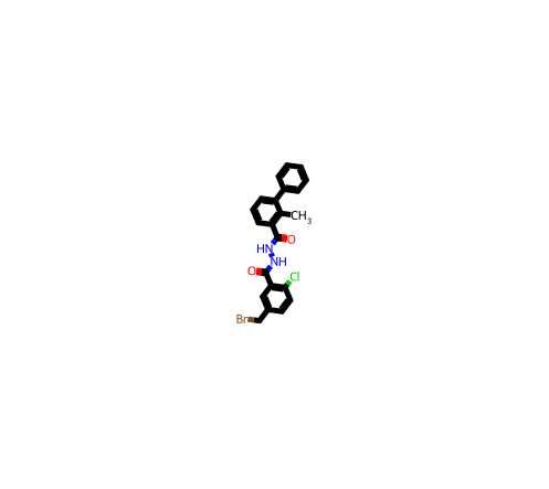 Cc1c(C(=O)NNC(=O)c2cc(CBr)ccc2Cl)cccc1-c1ccccc1